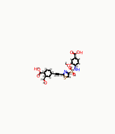 COc1cc(C(=O)O)ccc1NS(=O)(=O)c1csc(C#Cc2ccc(C(=O)O)c(C=O)c2)n1